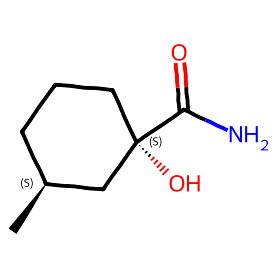 C[C@H]1CCC[C@@](O)(C(N)=O)C1